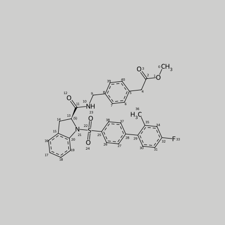 COC(=O)Cc1ccc(CNC(=O)[C@@H]2Cc3ccccc3N2S(=O)(=O)c2ccc(-c3ccc(F)cc3C)cc2)cc1